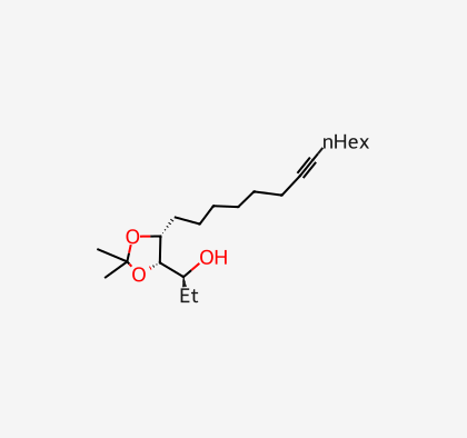 CCCCCCC#CCCCCCC[C@H]1OC(C)(C)O[C@H]1[C@@H](O)CC